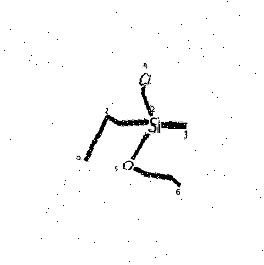 CC[Si](C)(Cl)OC